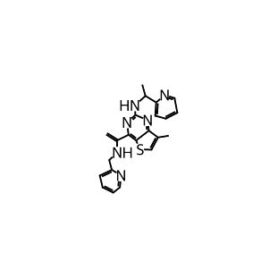 C=C(NCc1ccccn1)c1nc(NC(C)c2ccccn2)nc2c(C)csc12